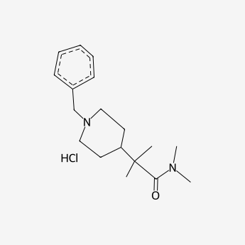 CN(C)C(=O)C(C)(C)C1CCN(Cc2ccccc2)CC1.Cl